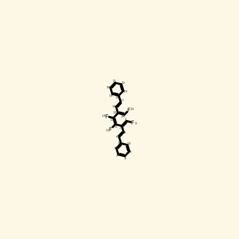 FC=C(/C=C/c1ccccc1)\C(F)=C(F)/C(/C=C/c1ccccc1)=C/F